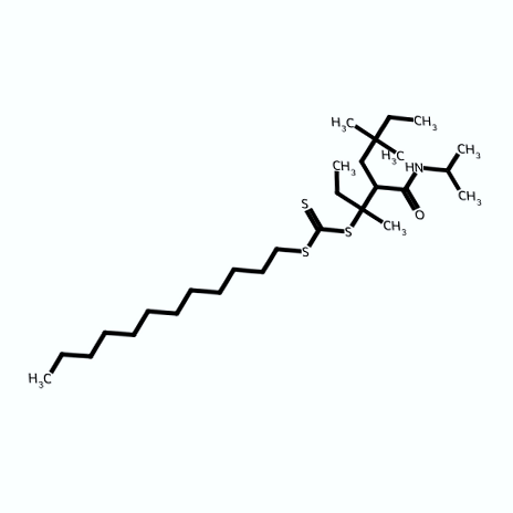 CCCCCCCCCCCCSC(=S)SC(C)(CC)C(CC(C)(C)CC)C(=O)NC(C)C